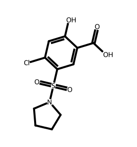 O=C(O)c1cc(S(=O)(=O)N2CCCC2)c(Cl)cc1O